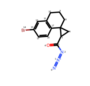 [N-]=[N+]=NC(=O)C1CC12CCCc1cc(Br)ccc12